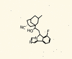 CC1CC2C[C@@H](C#N)CC(C(O)CC3c4c(F)cccc4-c4cncn43)(C1)C2